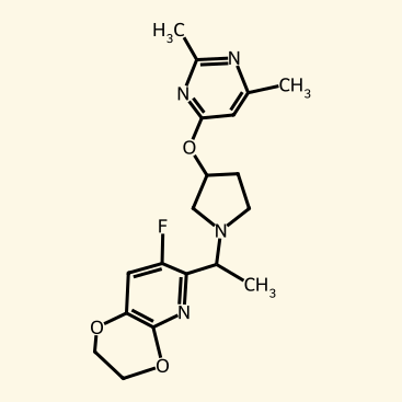 Cc1cc(OC2CCN(C(C)c3nc4c(cc3F)OCCO4)C2)nc(C)n1